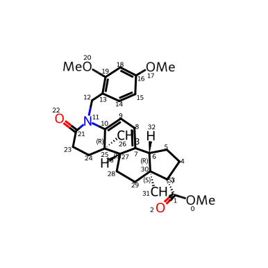 COC(=O)[C@H]1CC[C@H]2C3=CC=C4N(Cc5ccc(OC)cc5OC)C(=O)CC[C@]4(C)[C@H]3CC[C@]12C